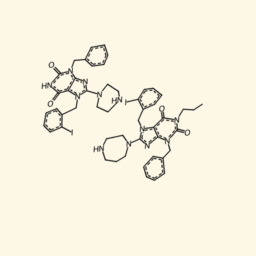 CCCn1c(=O)c2c(nc(N3CCCNCC3)n2Cc2ccccc2I)n(Cc2ccccc2)c1=O.O=c1[nH]c(=O)n(Cc2ccccc2)c2nc(N3CCNCC3)n(Cc3ccccc3I)c12